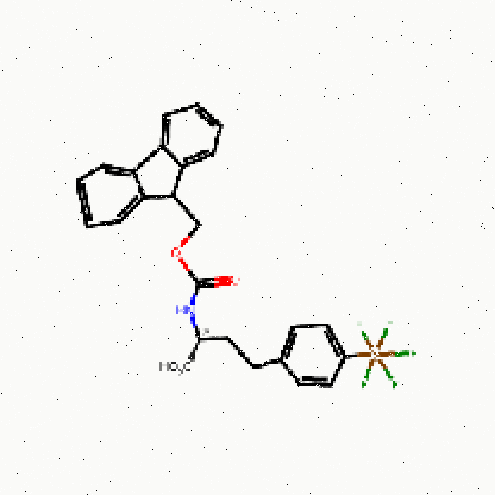 O=C(N[C@@H](CCc1ccc(S(F)(F)(F)(F)F)cc1)C(=O)O)OCC1c2ccccc2-c2ccccc21